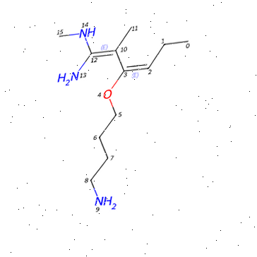 CC/C=C(OCCCCN)\C(C)=C(/N)NC